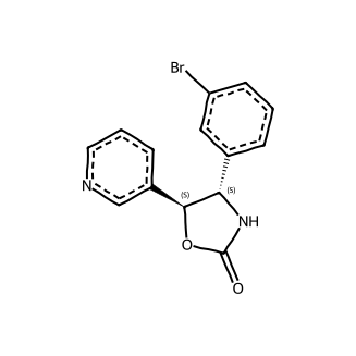 O=C1N[C@@H](c2cccc(Br)c2)[C@H](c2cccnc2)O1